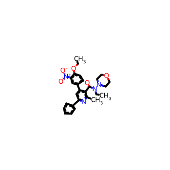 CCOc1ccc(-c2cc(-c3ccccc3)nc(C)c2C(=O)N(CC)N2CCOCC2)cc1[N+](=O)[O-]